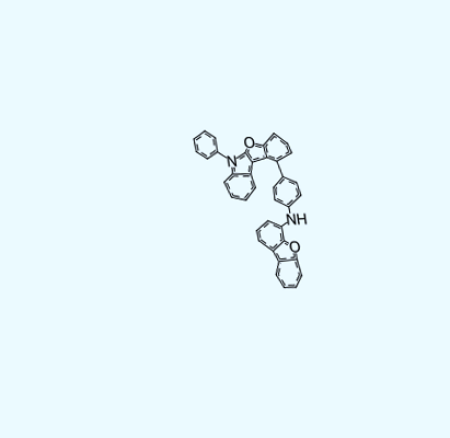 c1ccc(-n2c3ccccc3c3c4c(-c5ccc(Nc6cccc7c6oc6ccccc67)cc5)cccc4oc32)cc1